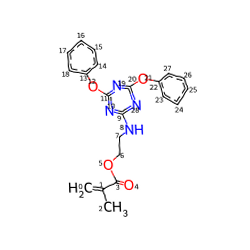 C=C(C)C(=O)OCCNc1nc(Oc2ccccc2)nc(Oc2ccccc2)n1